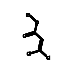 CCOC(=O)C=C(Cl)Cl